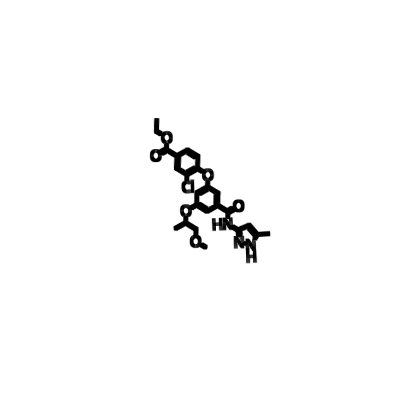 CCOC(=O)c1ccc(Oc2cc(OC(C)COC)cc(C(=O)Nc3cc(C)[nH]n3)c2)c(Cl)c1